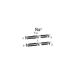 [N-]=[N+]=[N-].[N-]=[N+]=[N-].[Na+]